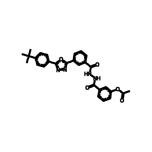 CC(=O)Oc1cccc(C(=O)NNC(=O)c2cccc(-c3nnc(-c4ccc(C(C)(C)C)cc4)o3)c2)c1